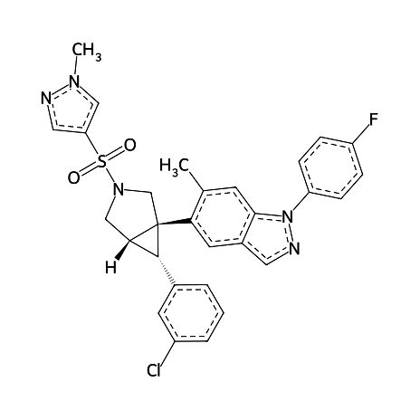 Cc1cc2c(cnn2-c2ccc(F)cc2)cc1[C@]12CN(S(=O)(=O)c3cnn(C)c3)C[C@H]1[C@H]2c1cccc(Cl)c1